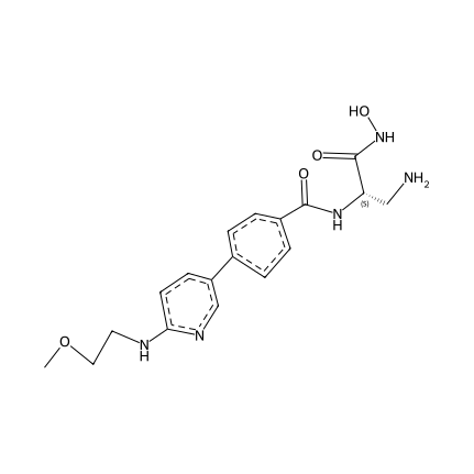 COCCNc1ccc(-c2ccc(C(=O)N[C@@H](CN)C(=O)NO)cc2)cn1